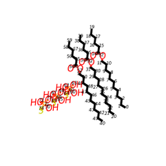 CCCCCCCCCCCCOC(=O)CCCCC.CCCCCCCCCCCCOC(=O)CCCCC.CCCCCCCCCCCCOC(=O)CCCCC.OP(O)(O)=S.OP(O)(O)=S.OP(O)(O)=S